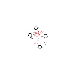 COc1ccccc1C(=O)OCC(OC(=O)c1ccccc1OC)C(COC(=O)c1ccccc1OC)OC(=O)c1ccccc1OC